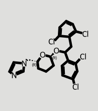 Clc1ccc(C(Cc2c(Cl)cccc2Cl)O[C@H]2CCC[C@H](Cn3ccnc3)O2)c(Cl)c1